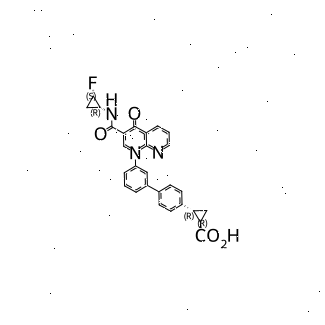 O=C(N[C@@H]1C[C@@H]1F)c1cn(-c2cccc(-c3ccc([C@@H]4C[C@H]4C(=O)O)cc3)c2)c2ncccc2c1=O